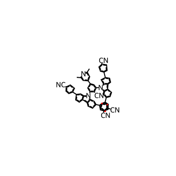 Cc1cc(-c2cc(-n3c4cc(-c5ccc(C#N)cc5)ccc4c4ccc(-c5ccc(C#N)cc5)cc43)c(C#N)c(-n3c4cc(-c5ccc(C#N)cc5)ccc4c4ccc(-c5ccc(C#N)cc5)cc43)c2)cc(C)n1